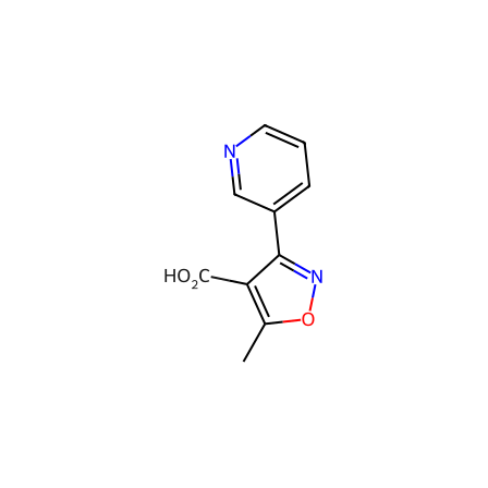 Cc1onc(-c2cccnc2)c1C(=O)O